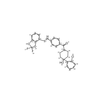 O=C(c1ccc(NSc2cccc3c2OC(F)(F)O3)cc1)N1CCC(O)(c2ccccc2Cl)CC1